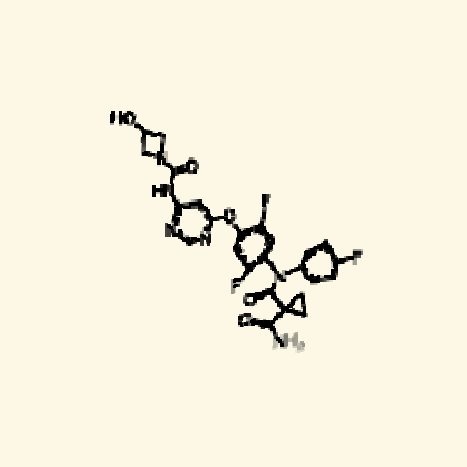 NC(=O)C1(C(=O)N(c2ccc(F)cc2)c2cc(F)c(Oc3cc(NC(=O)N4CC(O)C4)ncn3)cc2F)CC1